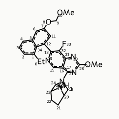 CCc1cccc2cc(OCOC)cc(-c3ncc4c(N5CC6CCC(C5)N6C)nc(OC)nc4c3F)c12